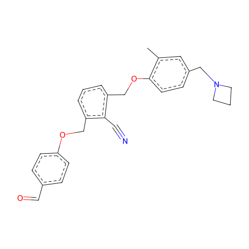 Cc1cc(CN2CCC2)ccc1OCc1cccc(COc2ccc(C=O)cc2)c1C#N